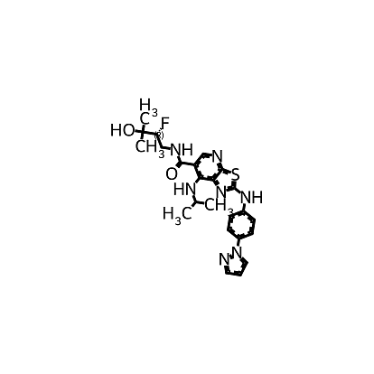 CC(C)Nc1c(C(=O)NC[C@@H](F)C(C)(C)O)cnc2sc(Nc3ccc(-n4cccn4)cc3)nc12